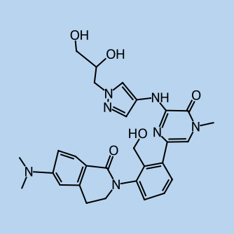 CN(C)c1ccc2c(c1)CCN(c1cccc(-c3cn(C)c(=O)c(Nc4cnn(CC(O)CO)c4)n3)c1CO)C2=O